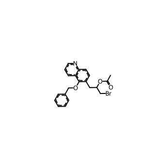 CC(=O)OC(CBr)Cc1ccc2ncccc2c1OCc1ccccc1